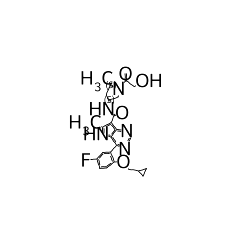 Cc1[nH]c2c(-c3cc(F)ccc3OCC3CC3)ncnc2c1C(=O)N[C@H]1C[C@H](C)N(C(=O)CO)C1